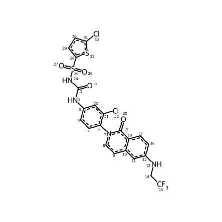 O=C(Nc1ccc(-n2ccc3cc(NCC(F)(F)F)ccc3c2=O)c(Cl)c1)NS(=O)(=O)c1ccc(Cl)s1